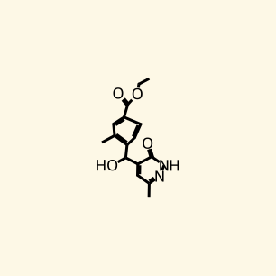 CCOC(=O)c1ccc(C(O)c2cc(C)n[nH]c2=O)c(C)c1